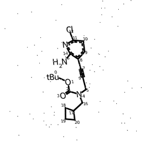 CC(C)(C)OC(=O)N(CC#Cc1ccc(Cl)nc1N)CC1CCC1